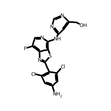 Nc1cc(Cl)c(-c2nc3c(F)cnc(Nc4cc(CO)ncn4)c3s2)c(Cl)c1